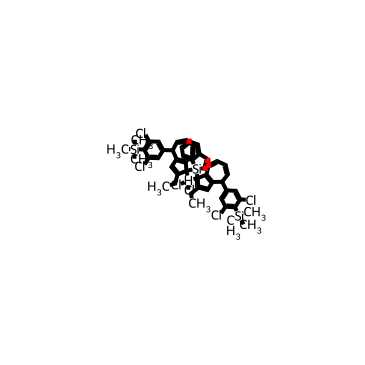 CCC1=CC2=C(C=CC=CC2c2cc(Cl)c([Si](C)(C)C)c(Cl)c2)[C]12[Si]1(c3ccccc3-c3ccccc31)[C]1(C(CC)=CC3=C1C=CC=CC3c1cc(Cl)c([Si](C)(C)C)c(Cl)c1)[Hf]2([Cl])[Cl]